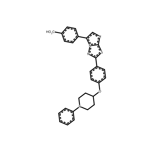 O=C(O)c1ccc(-c2cnc3sc(-c4ccc(OC5CCN(c6ccccc6)CC5)cc4)nn23)cc1